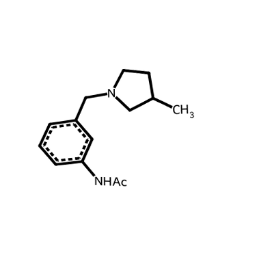 CC(=O)Nc1cccc(CN2CCC(C)C2)c1